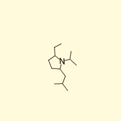 CCC1CCC(CC(C)C)N1C(C)C